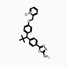 CC(C)(C)C(c1ccc(OCc2cccc[n+]2[O-])cc1)c1ccc(-c2nnc(N)o2)cc1